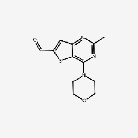 Cc1nc(N2CCOCC2)c2sc(C=O)cc2n1